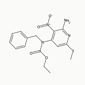 CCOC(=O)N(Cc1ccccc1)c1cc(SC)nc(N)c1[N+](=O)[O-]